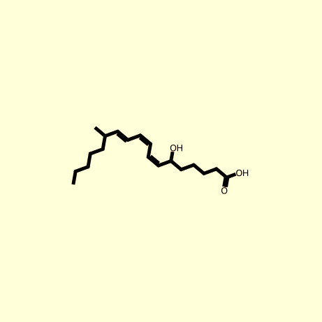 CCCCCC(C)/C=C/C=C\C=C/C(O)CCCCC(=O)O